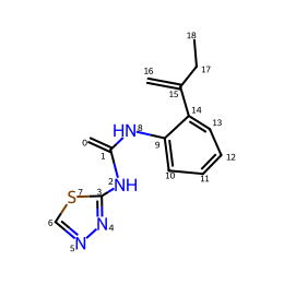 C=C(Nc1nncs1)Nc1ccccc1C(=C)CC